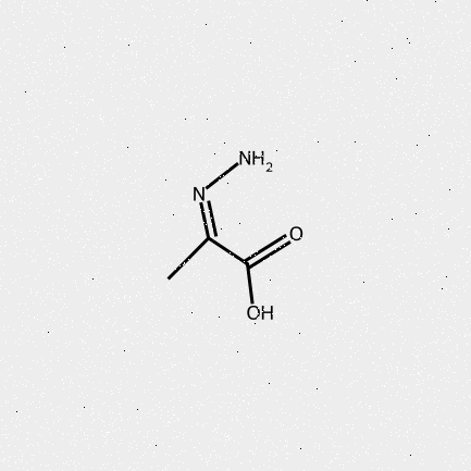 C/C(=N/N)C(=O)O